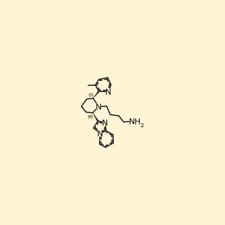 Cc1cccnc1[C@@H]1CCC[C@H](c2cn3ccccc3n2)N1CCCCN